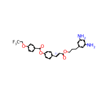 Nc1cc(N)cc(CCCOC(=O)/C=C/c2ccc(OC(=O)c3ccc(OCC(F)(F)F)cc3)cc2)c1